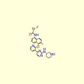 Cc1ccc2c(NC(=O)[C@H]3C[C@@H]3F)cccc2c1Oc1ncccc1-c1ccnc(N[C@H]2CCCNC2)n1